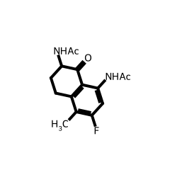 CC(=O)Nc1cc(F)c(C)c2c1C(=O)C(NC(C)=O)CC2